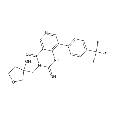 N=c1[nH]c2c(-c3ccc(C(F)(F)F)cc3)cncc2c(=O)n1CC1(O)CCOC1